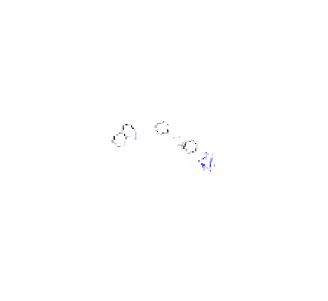 CC(Cc1ccc(-c2nnn[nH]2)cc1)c1cccc(OCc2ccc3ccccc3n2)c1